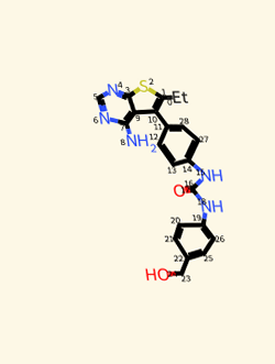 CCc1sc2ncnc(N)c2c1-c1ccc(NC(=O)Nc2ccc(CO)cc2)cc1